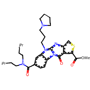 COC(=O)c1scc2nc3n(CCCN4CCCC4)c4cc(C(=O)N(CCC(C)C)CCC(C)C)ccc4n3c(=O)c12